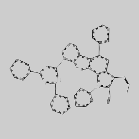 C=Cc1c(/C=C\C)c2cc(-c3ccccc3)c3c4cccc(-c5nc(-c6ccccc6)nc(-c6ccccc6)n5)c4oc3c2n1-c1ccccc1